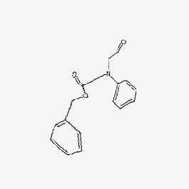 O=CCN(C(=O)OCc1ccccc1)c1ccccc1